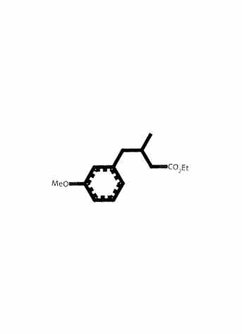 CCOC(=O)CC(C)Cc1cccc(OC)c1